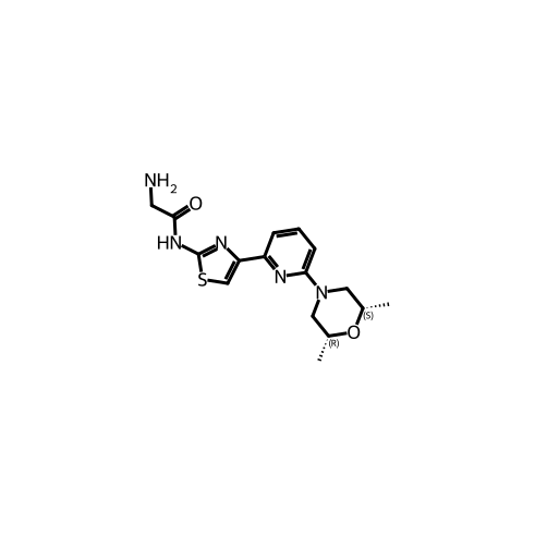 C[C@@H]1CN(c2cccc(-c3csc(NC(=O)CN)n3)n2)C[C@H](C)O1